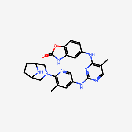 Cc1cnc(Nc2cnc(N3CC4CCC(C3)N4)c(C)c2)nc1Nc1ccc2oc(=O)[nH]c2c1